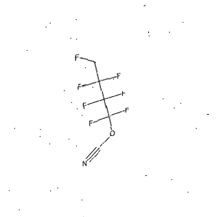 N#COC(F)(F)C(F)(F)C(F)(F)CF